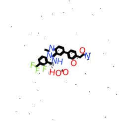 COc1cc(-c2ccc3nc(C)nc(N[C@H](C)c4cccc(C(F)F)c4F)c3c2)ccc1CC(=O)N(C)C.O=CO